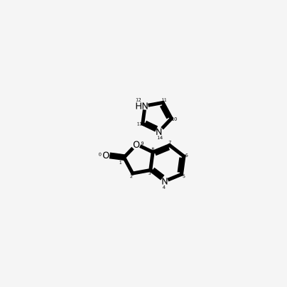 O=C1Cc2ncccc2O1.c1c[nH]cn1